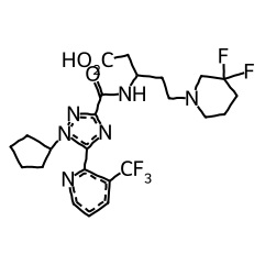 O=C(O)CC(CCN1CCCC(F)(F)C1)NC(=O)c1nc(-c2ncccc2C(F)(F)F)n(C2CCCC2)n1